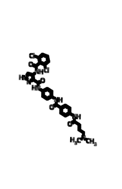 CN(C)C/C=C/C(=O)Nc1ccc(C(=O)Nc2ccc(NC(=O)c3n[nH]cc3NC(=O)c3c(Cl)cccc3Cl)cc2)cc1